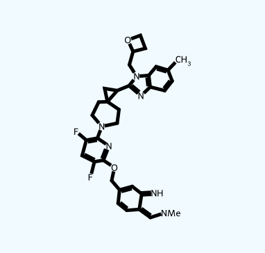 CN/C=C1/C=CC(COc2nc(N3CCC4(CC3)CC4c3nc4ccc(C)cc4n3CC3CCO3)c(F)cc2F)=CC1=N